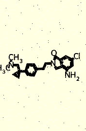 CN(C)CC1(c2ccc(CCN3Cc4c(N)cc(Cl)cc4C3=O)cc2)CC1